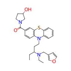 CCC(CCN1c2ccccc2Sc2cc(C(=O)N3CCC(O)C3)ccc21)N(CC)Cc1ccoc1